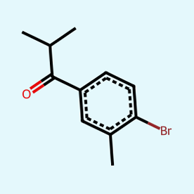 Cc1cc(C(=O)C(C)C)ccc1Br